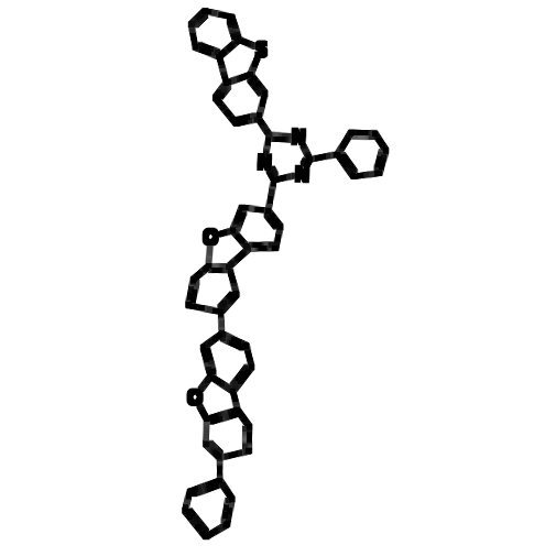 c1ccc(-c2ccc3c(c2)oc2cc(-c4ccc5oc6cc(-c7nc(-c8ccccc8)nc(-c8ccc9c(c8)sc8ccccc89)n7)ccc6c5c4)ccc23)cc1